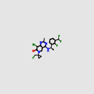 Cc1nc(N[C@H](C)c2cccc(C(F)F)c2F)c2cn(C3(CF)CC3)c(=O)c(Br)c2n1